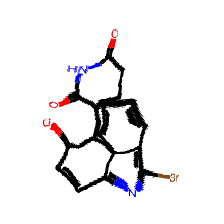 O=C1CCC(C2C(=O)C=CC3=NC(Br)=C4C=CC=CC342)C(=O)N1